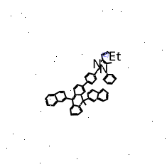 CC/C=C\c1nc(-c2ccc(C3=CC4C(=C(c5ccc6ccccc6c5)c5ccccc5C4(C)c4ccc5ccccc5c4)C=C3)cc2)n(-c2ccccc2)c1C